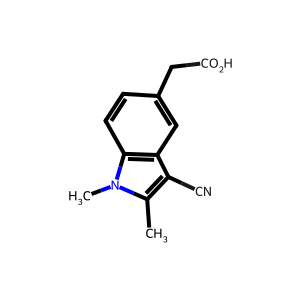 Cc1c(C#N)c2cc(CC(=O)O)ccc2n1C